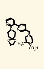 C[C@H]1CN(Cc2ccc(-c3cccnc3N3CCC4(CC3)OCCO4)nc2)CCN1C(=O)O